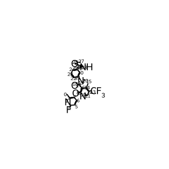 Cc1nc(F)ccc1Oc1ncc(C(F)(F)F)c(C)c1C(=O)N(C)c1cccc([S@](C)(=N)=O)c1